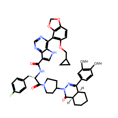 COc1ccc(C2=NN(C3CCN(C(=O)[C@H](Cc4ccc(F)cc4)NC(=O)c4c[nH]c5c(-c6c(OCC7CC7)ccc7c6OCO7)ncnc45)CC3)C(=O)[C@@H]3CCCC[C@H]23)cc1OC